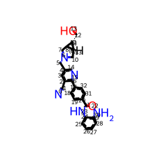 N#Cc1cc(CN2CC3[C@@H](C2)[C@H]3CO)cnc1-c1ccc(C(=O)Nc2ccccc2N)cc1